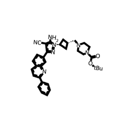 CC(C)(C)OC(=O)N1CCN(C[C@H]2C[C@@H](n3nc(-c4ccc5ccc(-c6ccccc6)nc5c4)c(C#N)c3N)C2)CC1